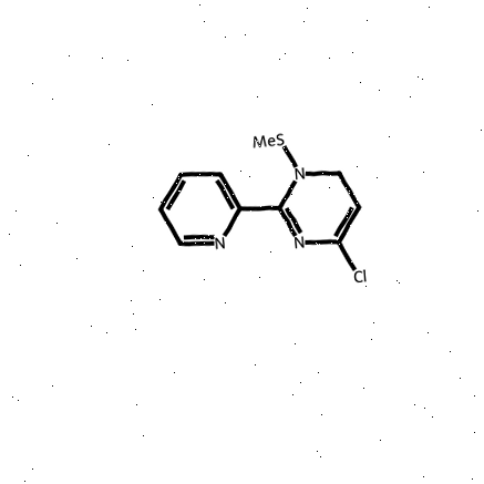 CSN1CC=C(Cl)N=C1c1ccccn1